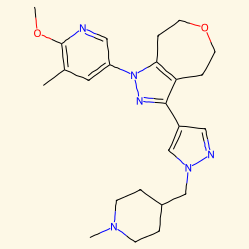 COc1ncc(-n2nc(-c3cnn(CC4CCN(C)CC4)c3)c3c2CCOCC3)cc1C